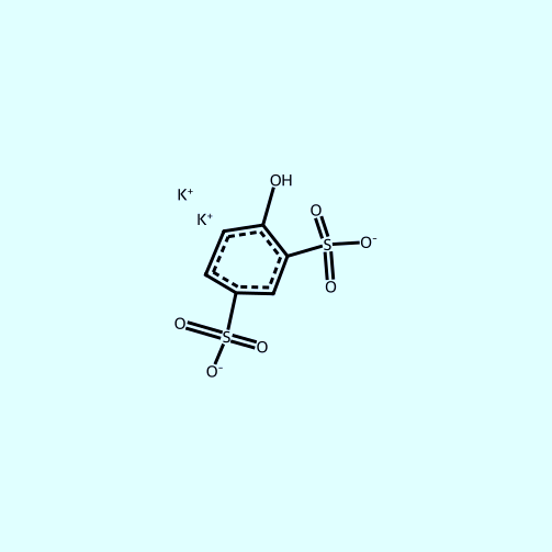 O=S(=O)([O-])c1ccc(O)c(S(=O)(=O)[O-])c1.[K+].[K+]